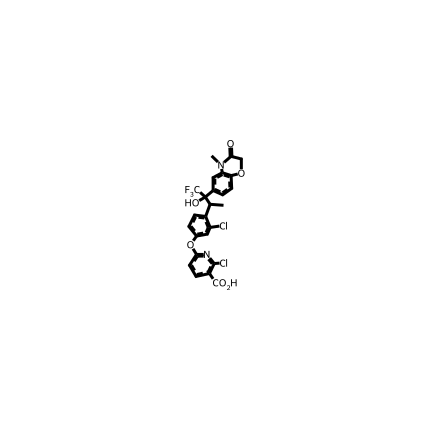 CC(c1ccc(Oc2ccc(C(=O)O)c(Cl)n2)cc1Cl)C(O)(c1ccc2c(c1)N(C)C(=O)CO2)C(F)(F)F